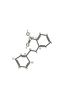 O=[N+]([O-])c1ccccc1C[CH]c1ccccc1